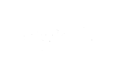 CC1(C)C[N+]2(C(=O)[O-])C(=O)C(NC(=O)Cc3ccccc3)[C@@H]2[S+]1[O-]